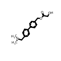 CN(C)Cc1ccc(-c2ccc(COC(=O)CO)cc2)cc1